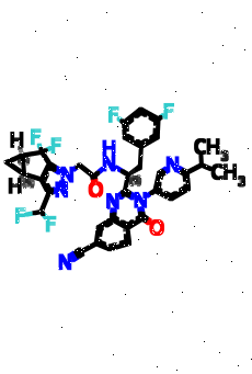 CC(C)c1ccc(-n2c([C@H](Cc3cc(F)cc(F)c3)NC(=O)Cn3nc(C(F)F)c4c3C(F)(F)[C@@H]3C[C@H]43)nc3cc(C#N)ccc3c2=O)cn1